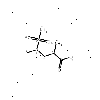 CN(CC(N)C(=O)O)S(N)(=O)=O